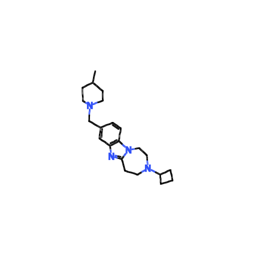 CC1CCN(Cc2ccc3c(c2)nc2n3CCN(C3CCC3)CC2)CC1